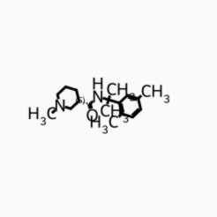 Cc1ccc(C)c(C(C)(C)NC(=O)[C@H]2CCCN(C)C2)c1